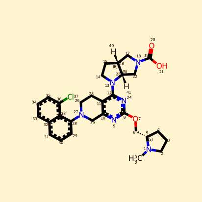 CN1CCC[C@H]1COc1nc2c(c(N3CC[C@@H]4CN(C(=O)O)C[C@@H]43)n1)CCN(c1cccc3cccc(Cl)c13)C2